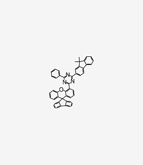 CC1(C)c2ccccc2-c2ccc(-c3nc(-c4ccccc4)nc(-c4cccc5c4Oc4ccccc4C54c5ccccc5-c5ccccc54)n3)cc21